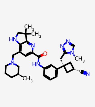 C[C@H]1CCCN(Cc2cc(C(=O)Nc3cccc([C@]4(Cc5nncn5C)C[C@@H](C#N)C4)c3)nc3c2NCC3(C)C)C1